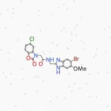 COc1cc2[nH]c(CNC(=O)Cn3c(=O)oc4ccc(Cl)cc43)nc2cc1Br